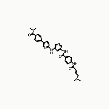 CN(C)CC=CC(=O)Nc1ccc(C(=O)Nc2cncc(Nc3ccc(-c4ccc(C(=O)N(C)C)cc4)cn3)c2)cc1